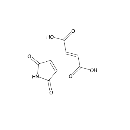 O=C(O)C=CC(=O)O.O=C1C=CC(=O)N1